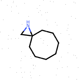 C1CCCC2(CCC1)CN2